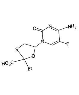 CCC1(C(=O)O)OC(n2cc(F)c(N)nc2=O)CS1